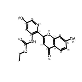 CCOC(=O)Nc1cc(O)cnc1-c1cc(=O)c2ccc(O)cc2o1